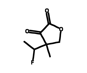 CC(F)C1(C)COC(=O)C1=O